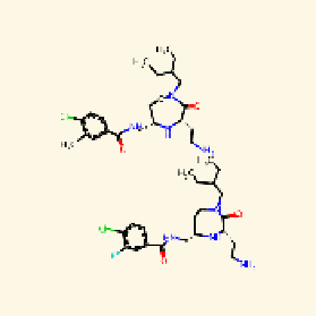 CCC(CC)CN1CC[C@@H](CNC(=O)c2ccc(Cl)c(C)c2)N[C@@H](CCN)C1=O.CCC(CC)CN1CC[C@@H](CNC(=O)c2ccc(Cl)c(F)c2)N[C@@H](CCN)C1=O